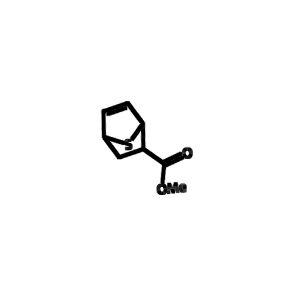 COC(=O)C1CC2C=CC1S2